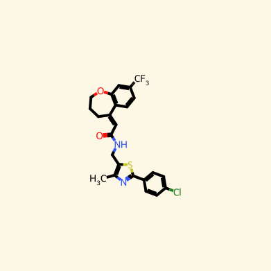 Cc1nc(-c2ccc(Cl)cc2)sc1CNC(=O)C=C1CCCOc2cc(C(F)(F)F)ccc21